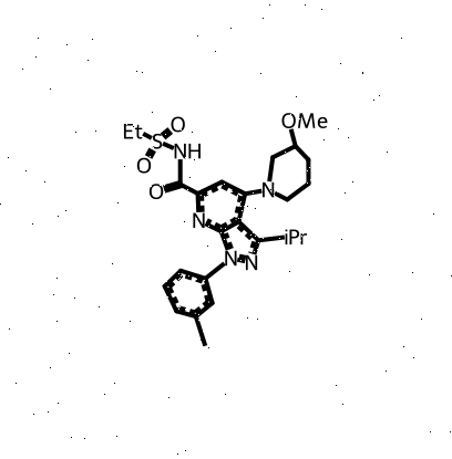 CCS(=O)(=O)NC(=O)c1cc(N2CCCC(OC)C2)c2c(C(C)C)nn(-c3cccc(C)c3)c2n1